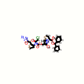 NC(=O)Cc1sccc1N(C(=O)CCl)C(=O)OCC1C(=O)N2C(C(=O)OC(c3ccccc3)c3ccccc3)=CCS[C@@H]12